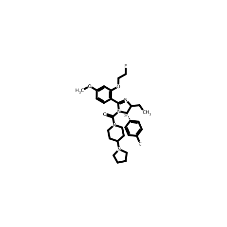 CCC1N=C(c2ccc(OC)cc2OCCF)N(C(=O)N2CCC(N3CCCC3)CC2)[C@H]1c1ccc(Cl)cc1